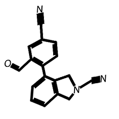 N#Cc1ccc(-c2cccc3c2CN(C#N)C3)c(C=O)c1